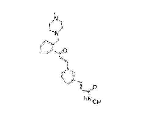 CN1CCN(Cc2ccccc2C(=O)C=Cc2cccc(C=CC(=O)NO)c2)CC1